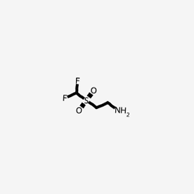 NCCS(=O)(=O)C(F)F